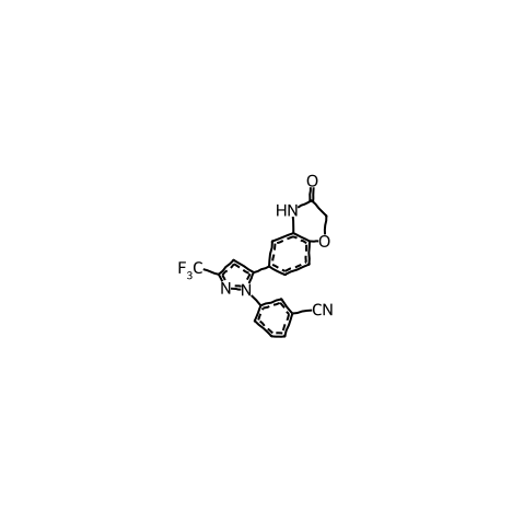 N#Cc1cccc(-n2nc(C(F)(F)F)cc2-c2ccc3c(c2)NC(=O)CO3)c1